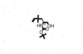 C=CC(C)(C)C[C@@H](CO)NC(=O)OC(C)(C)C